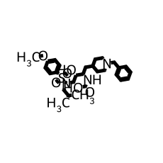 COc1ccc(S(=O)(=O)N(CC(C)C)CC(O)C(CC2CCN(Cc3ccccc3)CC2)NC(=O)O)cc1